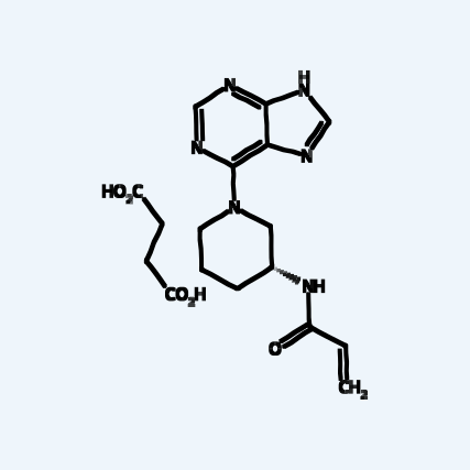 C=CC(=O)N[C@@H]1CCCN(c2ncnc3[nH]cnc23)C1.O=C(O)CCC(=O)O